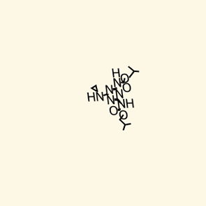 CC(C)COC(=O)Nc1nc(NC(=O)OCC(C)C)nc(NC2CC2)n1